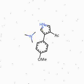 CN(C)C.COc1ccc(-c2c[nH]cc2C(C)=O)cc1